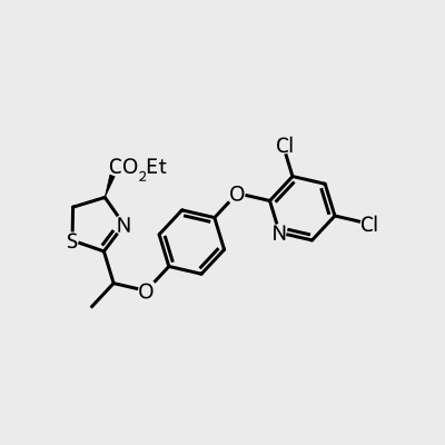 CCOC(=O)[C@@H]1CSC(C(C)Oc2ccc(Oc3ncc(Cl)cc3Cl)cc2)=N1